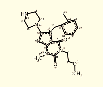 COCCn1c(=O)c2c(nc(N3CCNCC3)n2Cc2ccccc2I)n(C)c1=O